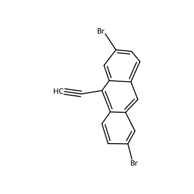 C#Cc1c2ccc(Br)cc2cc2ccc(Br)cc12